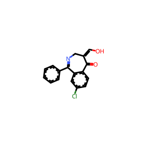 O=C1C(=CO)CN=C(c2ccccc2)c2cc(Cl)ccc21